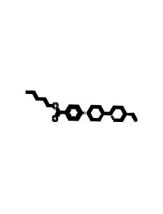 CCCCCOC(=O)c1ccc([C@H]2CC[C@H]([C@H]3CC[C@H](CC)CC3)CC2)cc1